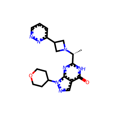 C[C@H](c1nc2c(cnn2C2CCOCC2)c(=O)[nH]1)N1CC(c2cccnn2)C1